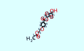 C=CC(=O)OCCOc1ccc(C(=O)O[C@@H]2COC3C2OC[C@@H]3O)cc1